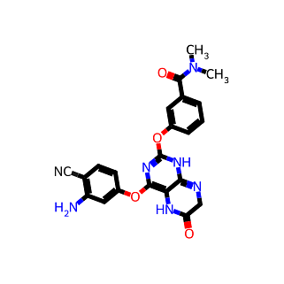 CN(C)C(=O)c1cccc(OC2=NC(Oc3ccc(C#N)c(N)c3)=C3NC(=O)CN=C3N2)c1